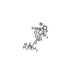 C[C@]1(c2cc(Br)ccc2F)N=C(OC(=O)NCOCC[Si](C)(C)C)S[C@@]2(C(=O)NC3CC3)C[C@H]21